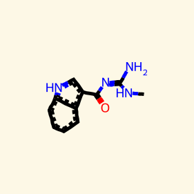 CNC(N)=NC(=O)c1c[nH]c2ccccc12